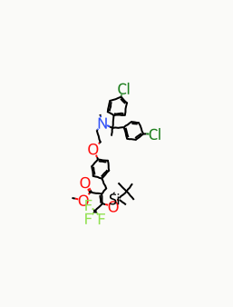 COC(=O)C(Cc1ccc(OCCN(C)C(C)(c2ccc(Cl)cc2)c2ccc(Cl)cc2)cc1)=C(O[Si](C)(C)C(C)(C)C)C(F)(F)F